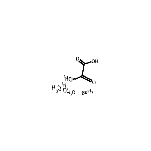 O.O.O.O=C(O)C(=O)O.[BeH2]